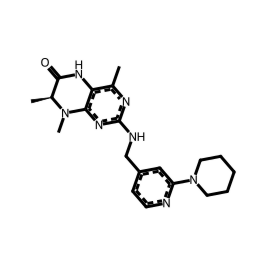 Cc1nc(NCc2ccnc(N3CCCCC3)c2)nc2c1NC(=O)[C@H](C)N2C